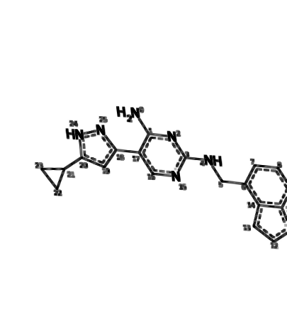 Nc1nc(NCc2cccc3[nH]ccc23)ncc1-c1cc(C2CC2)[nH]n1